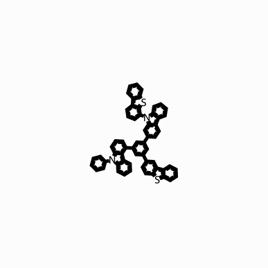 c1ccc(-n2c3ccccc3c3c(-c4cc(-c5ccc6sc7ccccc7c6c5)cc(-c5ccc6c7ccccc7n(-c7cccc8c7sc7ccccc78)c6c5)c4)cccc32)cc1